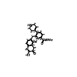 CCC1=Nc2ccc(Cc3nc(C(=O)NC)ccc3C3=CCNCC3)c(F)c2CC1=O